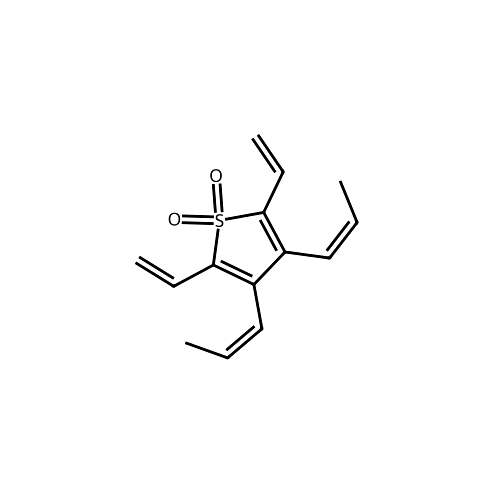 C=CC1=C(/C=C\C)C(/C=C\C)=C(C=C)S1(=O)=O